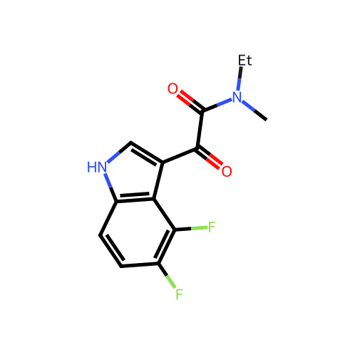 CCN(C)C(=O)C(=O)c1c[nH]c2ccc(F)c(F)c12